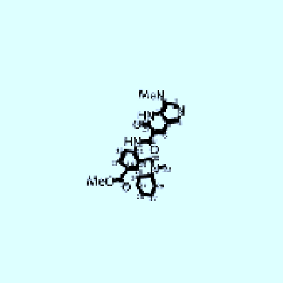 CNc1cncc2cc(C(=O)Nc3ccc(C(=O)OC)cc3CN(C)C3CCCCC3)c(=O)[nH]c12